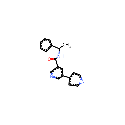 C[C@@H](NC(=O)c1cncc(-c2ccncc2)c1)c1ccccc1